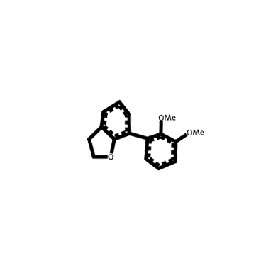 COc1cccc(-c2cccc3c2O[C]C3)c1OC